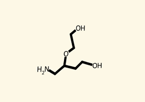 NCC(CCO)OCCO